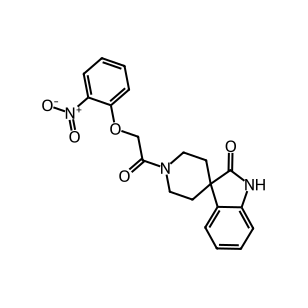 O=C(COc1ccccc1[N+](=O)[O-])N1CCC2(CC1)C(=O)Nc1ccccc12